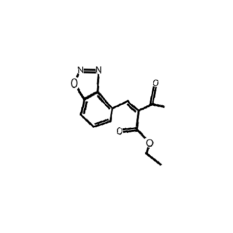 CCOC(=O)/C(=C\c1cccc2onnc12)C(C)=O